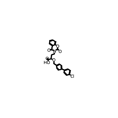 O=C(O)C(CCn1c(=O)oc2ccccc2c1=O)OCc1ccc(-c2ccc(Cl)cc2)cc1